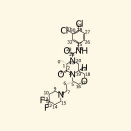 C[C@H]1C(=O)N2[C@@H](CCN3CCC(F)(F)CC3)COC[C@H]2CN1C(=O)Nc1ccc(Cl)c(Cl)c1